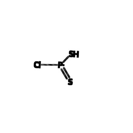 S=[P](S)Cl